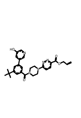 C=CCOC(=O)c1ccc(N2CCN(C(=O)c3cc(-c4cncc(O)c4)cc(C(C)(C)C)c3)CC2)nn1